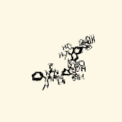 Nc1c(N=Nc2ccc(Nc3nc(F)nc(Nc4ccccc4)n3)cc2S(=O)(=O)O)c(S(=O)(=O)O)cc2cc(S(=O)(=O)O)cc(O)c12